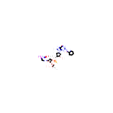 C=C1[C@H](COP(=S)(OCCC#N)O[C@H]2[C@@H](OC)[C@H](n3ccc(=O)[nH]c3=O)O[C@@H]2CO)[C@@H](O)C[C@@H]1n1cnc2c(=O)[nH]c(NC(=O)c3ccccc3)nc21